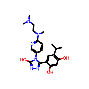 CC(C)c1cc(-c2nnc(O)n2-c2ccc(N(C)CCN(C)C)nc2)c(O)cc1O